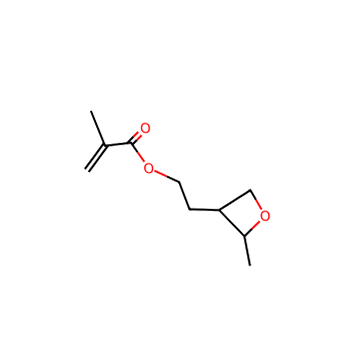 C=C(C)C(=O)OCCC1COC1C